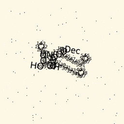 CCCCCCCCCCC[C@@H](CC(=O)N[C@H]1[C@H](OCc2ccccc2)O[C@H](CO)[C@@H](O)[C@@H]1OC(=O)CCCCCCCCc1ccccc1)OC(=O)CCCCCCCCc1ccccc1